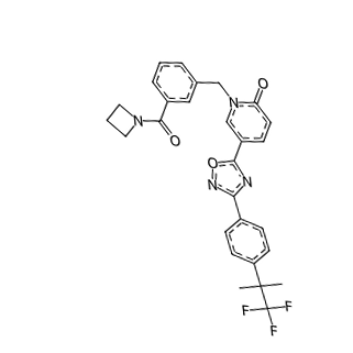 CC(C)(c1ccc(-c2noc(-c3ccc(=O)n(Cc4cccc(C(=O)N5CCC5)c4)c3)n2)cc1)C(F)(F)F